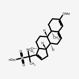 [C-]#[N+]C(C)(C1=CC[C@H]2[C@@H]3CC=C4C=C(OC)CC[C@]4(C)[C@H]3CC[C@]12C)S(=O)(=O)CCCCCCCCCC